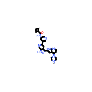 CN1CCN(c2ccnc3[nH]c(-c4n[nH]c5cnc(-c6cncc(NC(=O)C7CCC7)c6)cc45)cc23)CC1